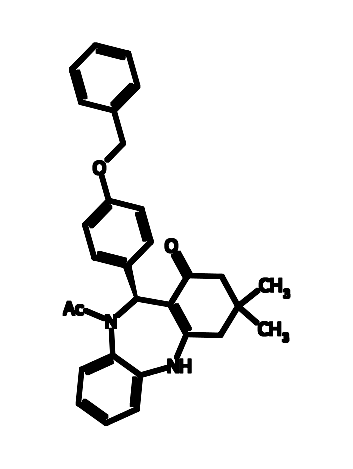 CC(=O)N1c2ccccc2NC2=C(C(=O)CC(C)(C)C2)[C@@H]1c1ccc(OCc2ccccc2)cc1